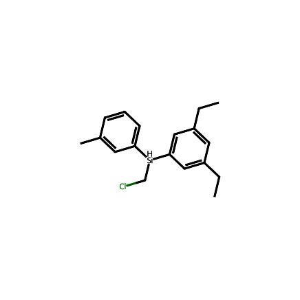 CCc1cc(CC)cc([SiH](CCl)c2cccc(C)c2)c1